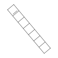 C1CC2=C1C1C2C2C1C1C3C4CCC4C3C21